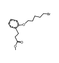 COC(=O)CCc1ccccc1OCCCCCBr